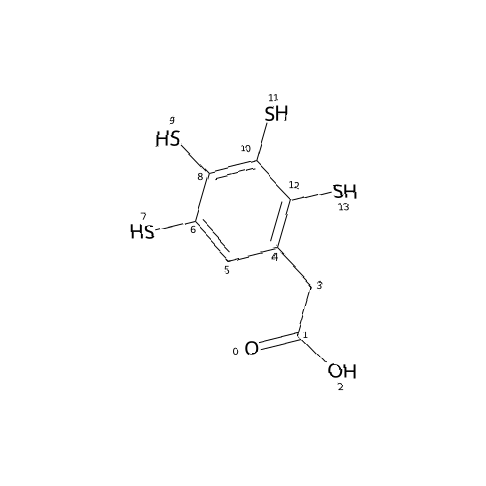 O=C(O)Cc1cc(S)c(S)c(S)c1S